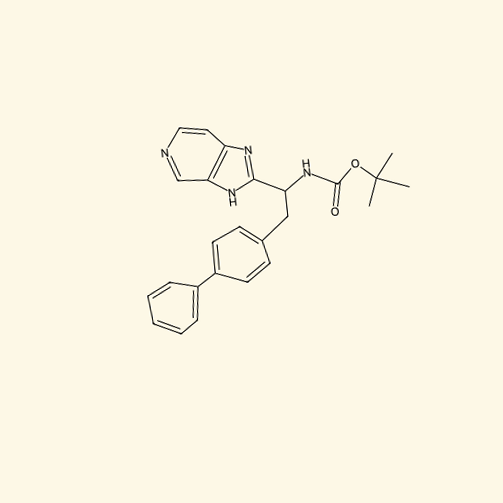 CC(C)(C)OC(=O)NC(Cc1ccc(-c2ccccc2)cc1)c1nc2ccncc2[nH]1